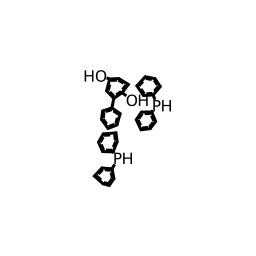 Oc1ccc(O)c(-c2ccccc2)c1.c1ccc(Pc2ccccc2)cc1.c1ccc(Pc2ccccc2)cc1